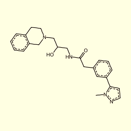 Cn1nccc1-c1cccc(CC(=O)NCC(O)CN2CCc3ccccc3C2)c1